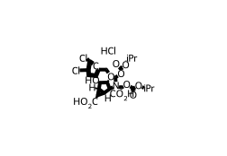 CC(C)OC(=O)OCN(COC(=O)OC(C)C)[C@]1(C(=O)O)[C@@H]2[C@@H](C(=O)O)[C@@H]2[C@H](O)[C@H]1OCc1ccc(Cl)c(Cl)c1.Cl